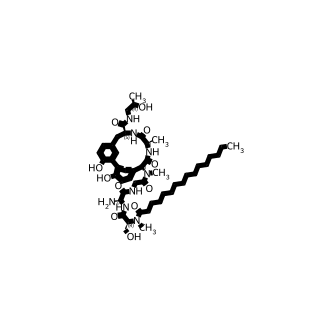 CCCCCCCCCCCCCCCC(=O)N(C)[C@H](CO)C(=O)N[C@H](N)C(=O)NCC(=O)N(C)[C@@H]1C(=O)N[C@@H](C)C(=O)N[C@H](C(=O)NC[C@@H](C)O)Cc2ccc(O)c(c2)-c2cc1ccc2O